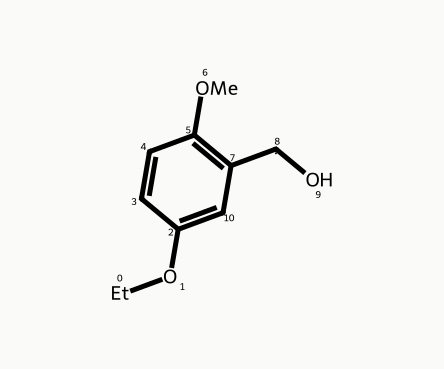 CCOc1ccc(OC)c([CH]O)c1